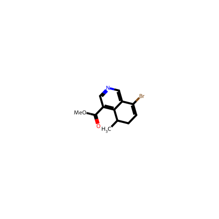 COC(=O)c1cncc2c1C(C)CC=C2Br